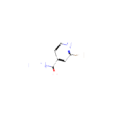 NC(=O)c1ccnc(S)c1